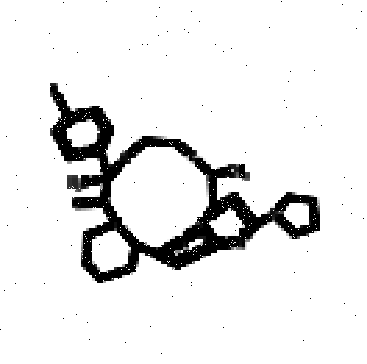 CN1CCCCC(C)(c2ccc(F)cc2)C(=O)N2CCCCC2c2cc3nc(N4CCCC4)cc1n3n2